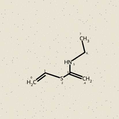 C=CSC(=C)NCC